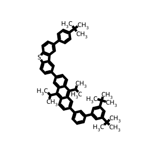 CC(C)c1c2ccc(-c3ccc4sc5ccc(-c6ccc(C(C)(C)C)cc6)cc5c4c3)cc2c(C(C)C)c2ccc(-c3cccc(-c4cc(C(C)(C)C)cc(C(C)(C)C)c4)c3)cc12